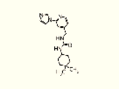 CC1(C)CCC(NC(=O)NCc2ccnc(-n3ccnc3)c2)CC1